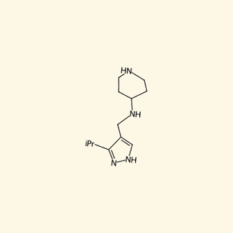 CC(C)c1n[nH]cc1CNC1CCNCC1